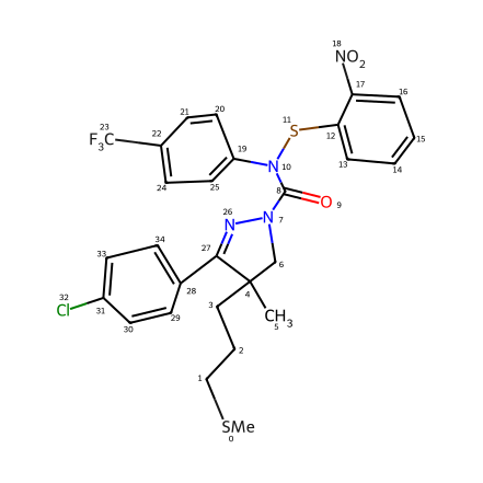 CSCCCC1(C)CN(C(=O)N(Sc2ccccc2[N+](=O)[O-])c2ccc(C(F)(F)F)cc2)N=C1c1ccc(Cl)cc1